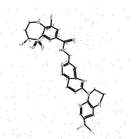 C[C@@H](F)c1cnc2c(c1)OCCN2c1ccc2cnc(CNC(=O)c3cc(F)c4c(c3)S(=O)(=O)[C@@H](F)CCO4)cc2n1